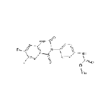 CC(C)(C)OC(=O)Nc1ccc(-n2c(=O)[nH]c3cc(F)c(F)cc3c2=O)cc1